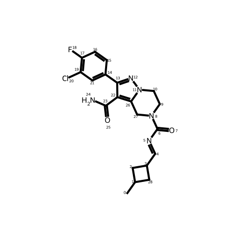 CC1CC(/C=N/C(=O)N2CCn3nc(-c4ccc(F)c(Cl)c4)c(C(N)=O)c3C2)C1